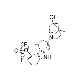 CC(CC(=O)N1C2CC3(C)CC1CC(O)(C2)C3)c1c[nH]c2ccc(F)c(OS(=O)(=O)C(F)(F)F)c12